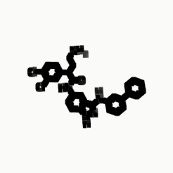 NCCC(C(=O)Nc1ccc2[nH]nc(Nc3cccc(-c4ccccc4)c3)c2c1)c1ccc(Cl)c(Cl)c1